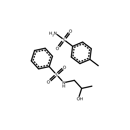 CC(O)CNS(=O)(=O)c1ccccc1.Cc1ccc(S(N)(=O)=O)cc1